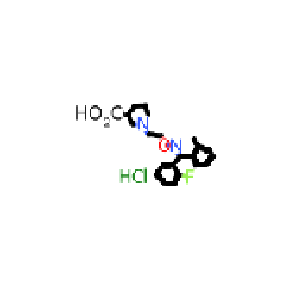 Cc1ccccc1C(=NOCCN1CCCC(C(=O)O)C1)c1ccccc1F.Cl